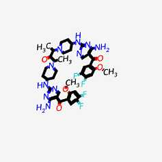 COc1cc(F)c(F)cc1C(=O)c1cnc(NC2CCN(C(C)C(=O)C(C)N3CCC(Nc4ncc(C(=O)c5cc(F)c(F)cc5OC)c(N)n4)CC3)CC2)nc1N